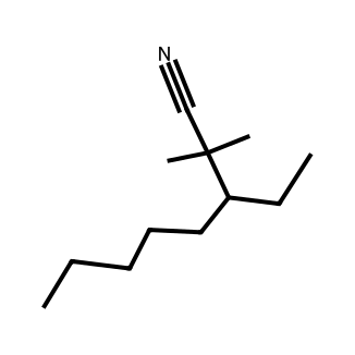 CCCCCC(CC)C(C)(C)C#N